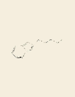 CCCCCc1cc2ccccn2c1